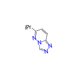 CC(C)c1ccc2nncn2n1